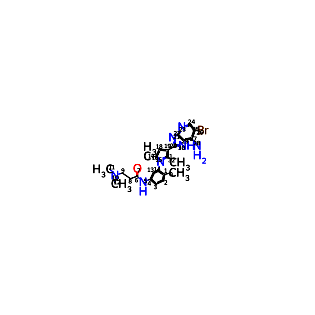 Cc1ccc(NC(=O)CCN(C)C)cc1-n1c(C)cc(-c2nc3ncc(Br)c(N)c3[nH]2)c1C